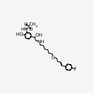 CS(=O)(=O)Nc1cc(C(O)CNCCCCCCOCC/C=C/c2ccc(F)cc2)ccc1O